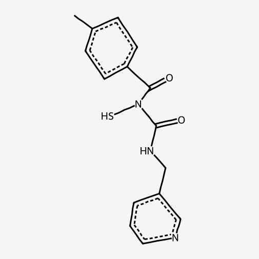 Cc1ccc(C(=O)N(S)C(=O)NCc2cccnc2)cc1